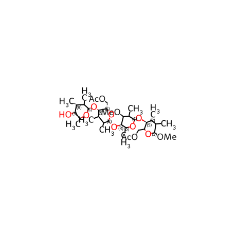 COC1C(C)[C@H](O[C@@H]2C(COC(C)=O)O[C@H](OC)C(C)[C@H]2C)O[C@@H](C)[C@H]1O[C@H]1O[C@@H](COC(C)=O)[C@@H](O[C@@H]2OC(C)[C@@H](O)[C@H](C)C2C)C(C)C1C